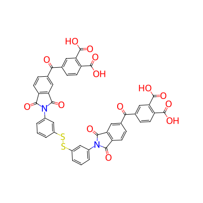 O=C(c1ccc(C(=O)O)c(C(=O)O)c1)c1ccc2c(c1)C(=O)N(c1cccc(SSc3cccc(N4C(=O)c5ccc(C(=O)c6ccc(C(=O)O)c(C(=O)O)c6)cc5C4=O)c3)c1)C2=O